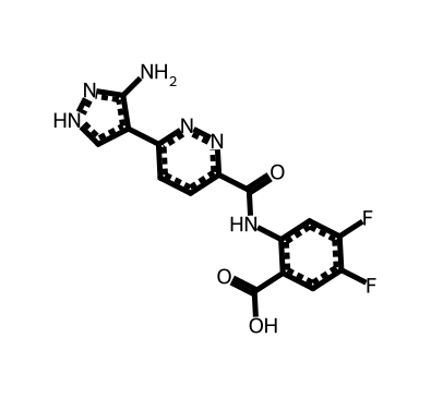 Nc1n[nH]cc1-c1ccc(C(=O)Nc2cc(F)c(F)cc2C(=O)O)nn1